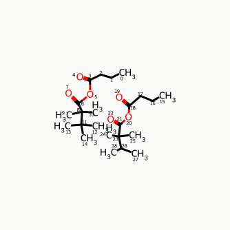 CCCC(=O)OC(=O)C(C)(C)C(C)(C)C.CCCC(=O)OC(=O)C(C)(C)C(C)C